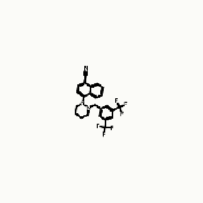 N#Cc1ccc(N2CCCCN2Cc2cc(C(F)(F)F)cc(C(F)(F)F)c2)c2ccccc12